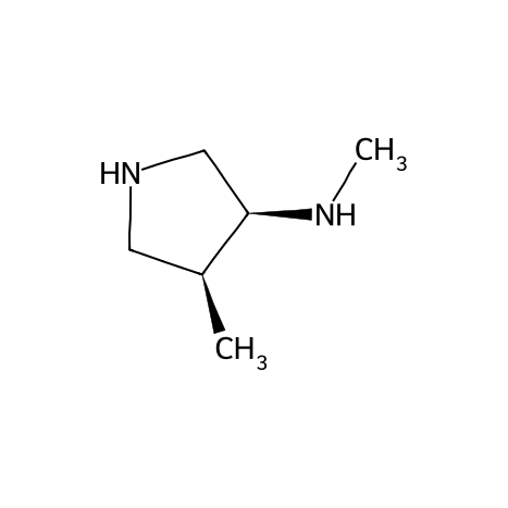 CN[C@@H]1CNC[C@@H]1C